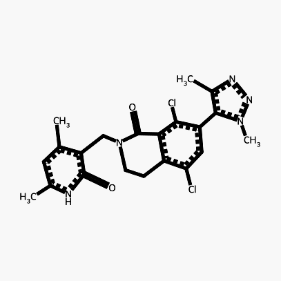 Cc1cc(C)c(CN2CCc3c(Cl)cc(-c4c(C)nnn4C)c(Cl)c3C2=O)c(=O)[nH]1